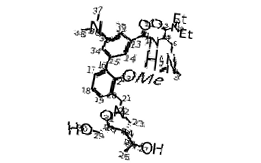 CCN(CC)C(=O)[C@@H](CN(C)C)NC(=O)c1cc(-c2cccc(CN3C[C@H]([C@H](C)O)[C@H](CO)O3)c2OC)cc(N(C)C)c1